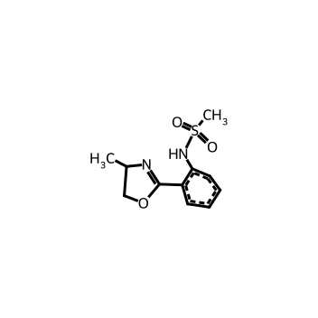 CC1COC(c2ccccc2NS(C)(=O)=O)=N1